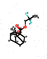 CC(F)(F)COC(=O)C12CC3CC(C1)C(C)(O)C(C3)C2